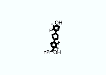 CCCC(O)c1ccc(C2=CCC(c3ccc(O)c(F)c3F)CC2)c(F)c1F